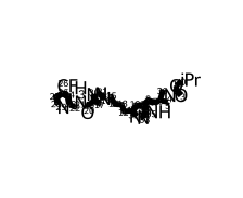 CC(C)OC(=O)N1CC(c2cc3cc(CCCCn4cc(C(=O)NCc5cc(C(F)(F)F)ccn5)nn4)nnc3[nH]2)C1